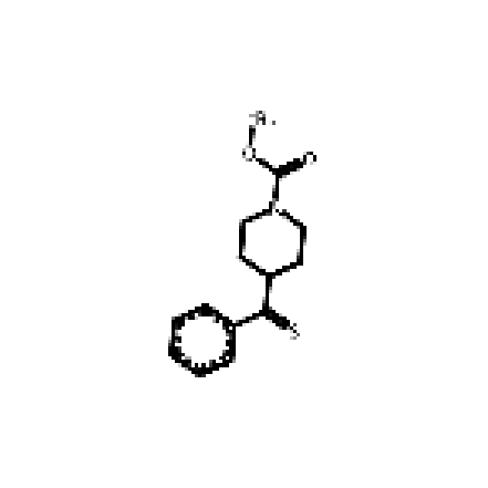 CC(C)(C)OC(=O)N1CCC(C(=S)c2ccccc2)CC1